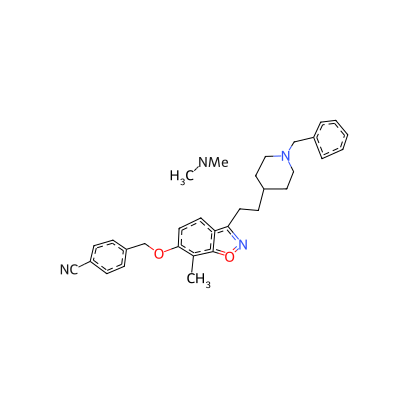 CNC.Cc1c(OCc2ccc(C#N)cc2)ccc2c(CCC3CCN(Cc4ccccc4)CC3)noc12